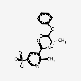 Cc1ncc(S(=O)(=O)Cl)cc1C(=O)N[C@@H](C)C(=O)Oc1cc[c]cc1